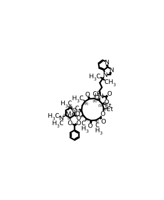 CC[C@H]1OC(=O)[C@H](C)C(=O)[C@H](C)[C@@H](OC2O[C@H](C)C[C@H](N(C)C)[C@H]2OC(=O)c2ccccc2)[C@@](C)(OC)C[C@@H](C)C(=O)[C@H](C)[C@H]2N(CCCC(C)(C)n3cnc4ncccc43)C(=O)O[C@]12CC